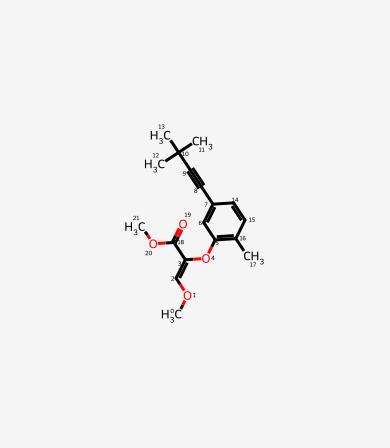 CO/C=C(\Oc1cc(C#CC(C)(C)C)ccc1C)C(=O)OC